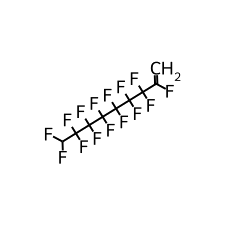 C=C(F)C(F)(F)C(F)(F)C(F)(F)C(F)(F)C(F)(F)C(F)(F)C(F)F